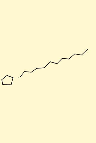 C1CCCC1.[CH2]CCCCCCCCCCC